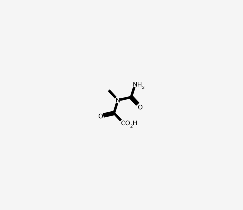 CN(C(N)=O)C(=O)C(=O)O